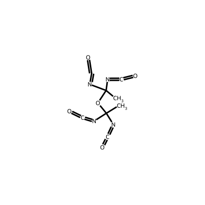 CC(N=C=O)(N=C=O)OC(C)(N=C=O)N=C=O